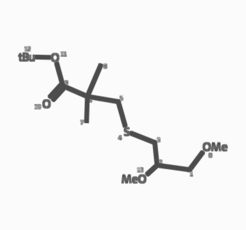 COCC(CSCC(C)(C)C(=O)OC(C)(C)C)OC